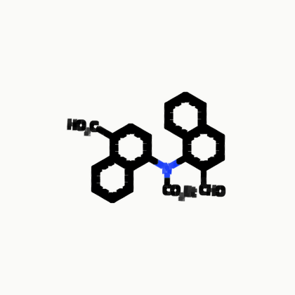 CCOC(=O)N(c1c(C=O)ccc2ccccc12)c1ccc(C(=O)O)c2ccccc12